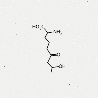 CC(O)CC(=O)CCCC(N)C(=O)O